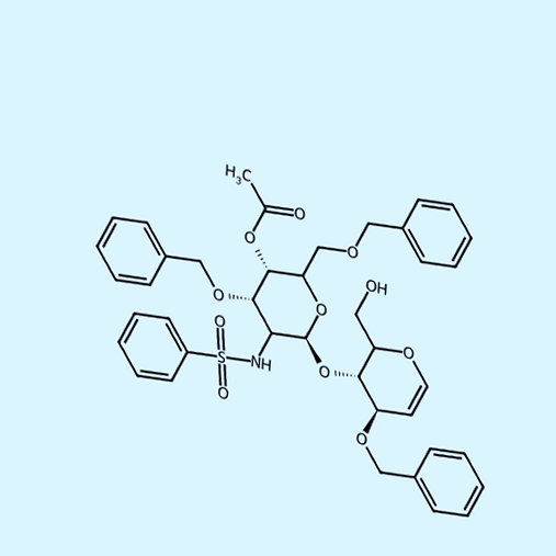 CC(=O)O[C@@H]1C(COCc2ccccc2)O[C@@H](O[C@@H]2C(CO)OC=C[C@H]2OCc2ccccc2)C(NS(=O)(=O)c2ccccc2)[C@@H]1OCc1ccccc1